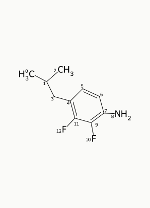 CC(C)Cc1ccc(N)c(F)c1F